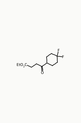 CCOC(=O)CCC(=O)C1CCC(F)(F)CC1